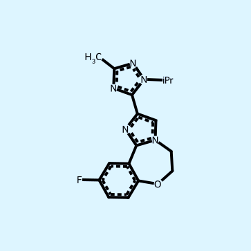 Cc1nc(-c2cn3c(n2)-c2cc(F)ccc2OCC3)n(C(C)C)n1